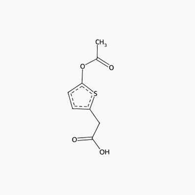 CC(=O)Oc1ccc(CC(=O)O)s1